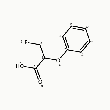 O=C(O)C(CF)Oc1ccccc1